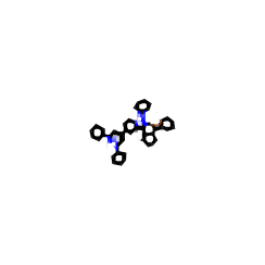 CC12C=CC=CC1c1c(sc3ccccc13)-c1c2c2cc(-c3cc(-c4ccccc4)nc(-c4ccccc4)c3)ccc2n1-c1ccccc1